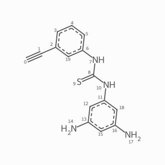 C#Cc1cccc(NC(=S)Nc2cc(N)cc(N)c2)c1